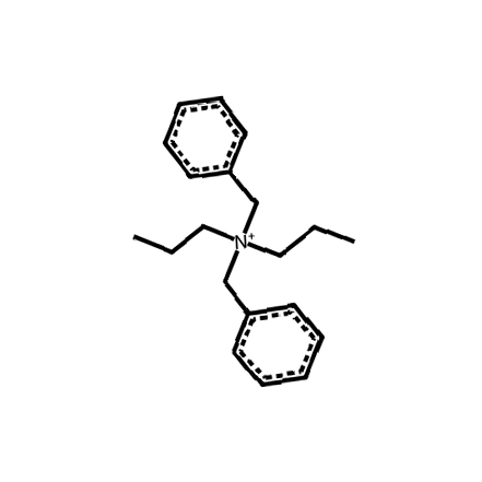 CCC[N+](CCC)(Cc1ccccc1)Cc1ccccc1